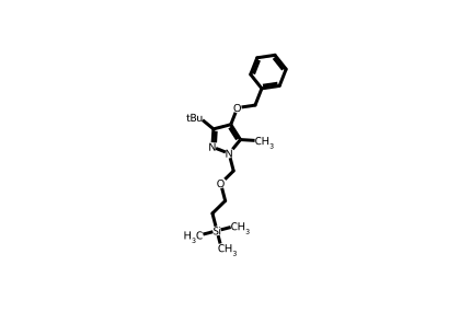 Cc1c(OCc2ccccc2)c(C(C)(C)C)nn1COCC[Si](C)(C)C